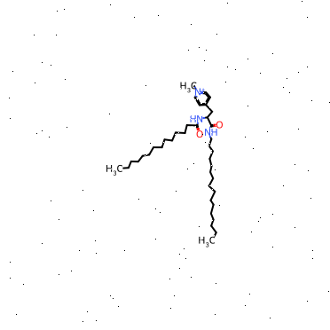 CCCCCCCCCCCCCCCCNC(=O)C(Cc1cc[n+](C)cc1)NC(=O)CCCCCCCCCCCCC